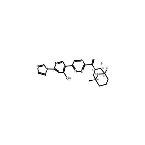 C=C(c1ncc(-c2cnc(-n3ccnc3)cc2O)nn1)[C@@H]1C[C@@]2(C)CCC[C@H](N2)[C@H]1F